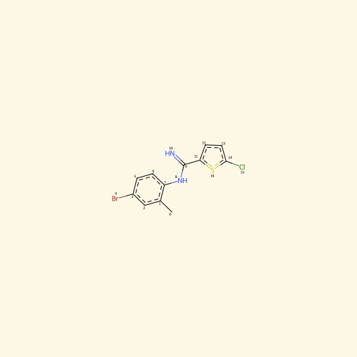 Cc1cc(Br)ccc1NC(=N)c1ccc(Cl)s1